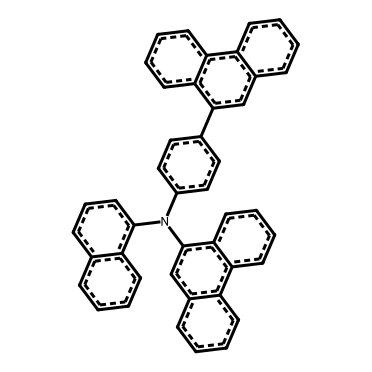 c1ccc2c(N(c3ccc(-c4cc5ccccc5c5ccccc45)cc3)c3cc4ccccc4c4ccccc34)cccc2c1